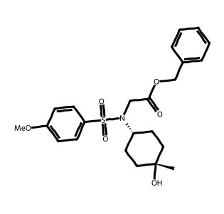 COc1ccc(S(=O)(=O)N(CC(=O)OCc2ccccc2)[C@H]2CC[C@@](C)(O)CC2)cc1